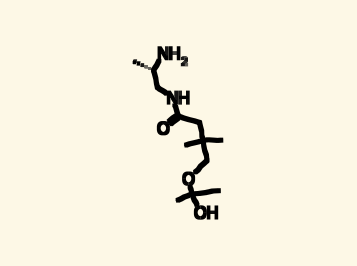 C[C@H](N)CNC(=O)CC(C)(C)COC(C)(C)O